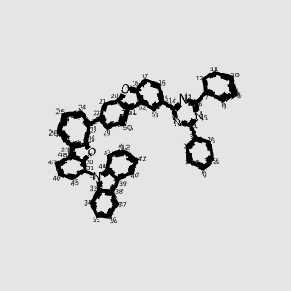 c1ccc(-c2nc(-c3ccccc3)nc(-c3ccc4oc5cc(-c6cccc7c6oc6c(-n8c9ccccc9c9ccccc98)cccc67)ccc5c4c3)n2)cc1